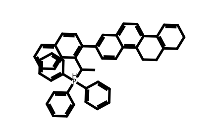 CC(c1c(-c2ccc3c4c(ccc3c2)C2=C(CCC=C2)CC4)ccc2ccccc12)[PH](c1ccccc1)(c1ccccc1)c1ccccc1